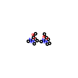 c1ccc2c(c1)-c1cc(-c3ccc4nc(N5c6ccccc6-c6cccc7cccc5c67)c(-c5cccc6c5oc5ccccc56)nc4c3)cc3cccc(c13)N2c1nc2ccccc2nc1-c1ccc2c(c1)oc1ccccc12